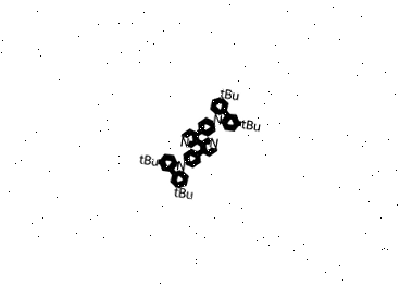 CC(C)(C)c1ccc2c(c1)c1cc(C(C)(C)C)ccc1n2-c1ccc(-c2ccncc2-c2cnccc2-c2ccc(-n3c4ccc(C(C)(C)C)cc4c4cc(C(C)(C)C)ccc43)cc2)cc1